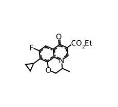 CCOC(=O)c1cn2c3c(c(C4CC4)c(F)cc3c1=O)OCC2C